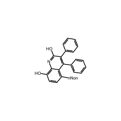 CCCCCCCCCc1ccc(O)c2nc(O)c(-c3ccccc3)c(-c3ccccc3)c12